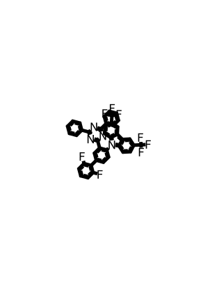 Fc1cccc(F)c1-c1ccc(-n2c3ccc(C(F)(F)F)cc3c3cc(C(F)(F)F)ccc32)c(-c2nc(-c3ccccc3)nc(-c3ccccc3)n2)c1